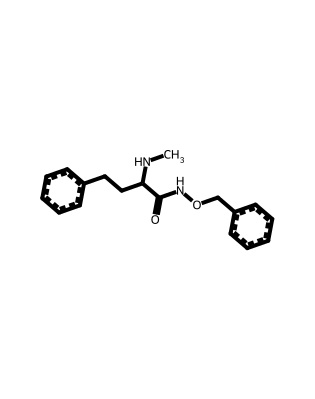 CNC(CCc1ccccc1)C(=O)NOCc1ccccc1